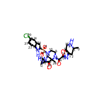 CC1Cc2nc(C(=O)N3CCN(S(=O)(=O)c4cc5cc(Cl)ccc5[nH]4)C(N)C3(C)C(=O)C3CC3)oc2CN1